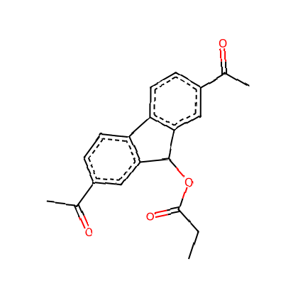 CCC(=O)OC1c2cc(C(C)=O)ccc2-c2ccc(C(C)=O)cc21